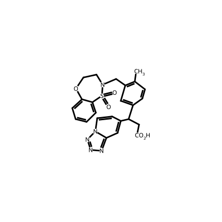 Cc1ccc(C(CC(=O)O)c2ccn3nnnc3c2)cc1CN1CCOc2ccccc2S1(=O)=O